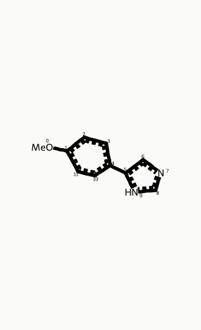 COc1ccc(-c2cnc[nH]2)cc1